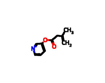 C=C(C)CC(=O)Oc1cccnc1